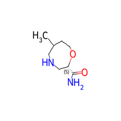 CC1CCO[C@H](C(N)=O)CNC1